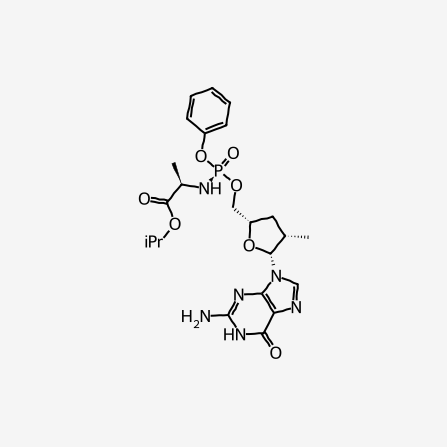 CC(C)OC(=O)[C@@H](C)N[P@@](=O)(OC[C@@H]1C[C@H](C)[C@H](n2cnc3c(=O)[nH]c(N)nc32)O1)Oc1ccccc1